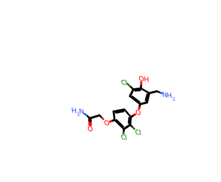 NCc1cc(Oc2ccc(OCC(N)=O)c(Cl)c2Cl)cc(Cl)c1O